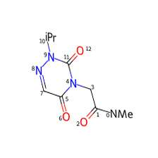 CNC(=O)Cn1c(=O)cnn(C(C)C)c1=O